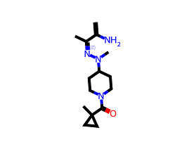 C=C(N)/C(C)=N\N(C)C1CCN(C(=O)C2(C)CC2)CC1